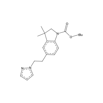 CC(C)(C)OC(=O)N1CC(C)(C)c2cc(CCn3cccn3)ccc21